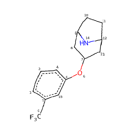 FC(F)(F)c1cccc(OC2C[C]3CCC(C2)N3)c1